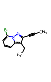 CC#Cc1nn2c(Br)cccc2c1CC(F)(F)F